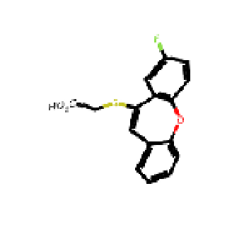 O=C(O)CSC1=Cc2ccccc2Oc2ccc(F)cc21